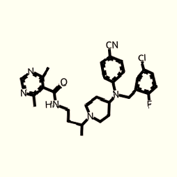 Cc1ncnc(C)c1C(=O)NCCC(C)N1CCC(N(Cc2cc(Cl)ccc2F)c2ccc(C#N)cc2)CC1